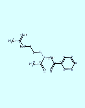 N=C(N)NCCC[C@H](NC(=O)c1ccccc1)C(N)=O